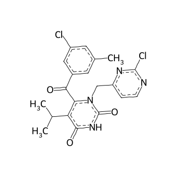 Cc1cc(Cl)cc(C(=O)c2c(C(C)C)c(=O)[nH]c(=O)n2Cc2ccnc(Cl)n2)c1